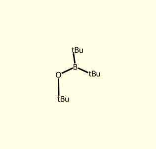 CC(C)(C)OB(C(C)(C)C)C(C)(C)C